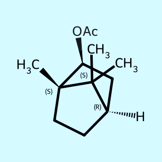 CC(=O)O[C@H]1C[C@H]2CC[C@@]1(C)C2(C)C